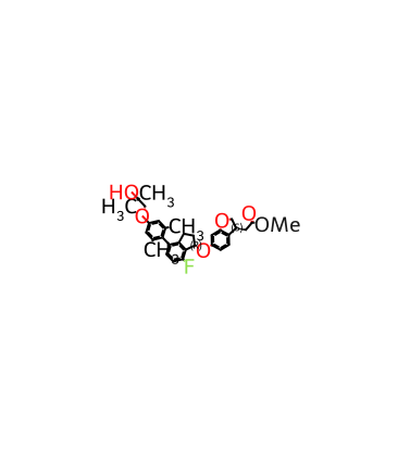 COC(=O)C[C@@H]1COc2cc(O[C@@H]3CCc4c(-c5c(C)cc(OCC(C)(C)O)cc5C)ccc(F)c43)ccc21